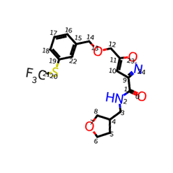 O=C(NCC1CCOC1)c1cc(COCc2cccc(SC(F)(F)F)c2)on1